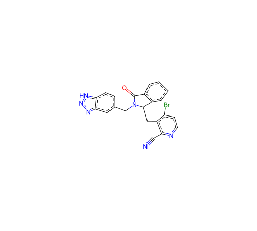 N#Cc1nccc(Br)c1CC1c2ccccc2C(=O)N1Cc1ccc2[nH]nnc2c1